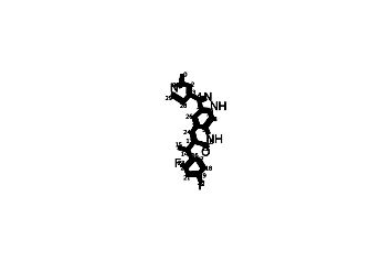 Cc1cc(-c2n[nH]c3cc4[nH]c(=O)c(C(C)c5ccc(F)cc5F)cc4cc23)ccn1